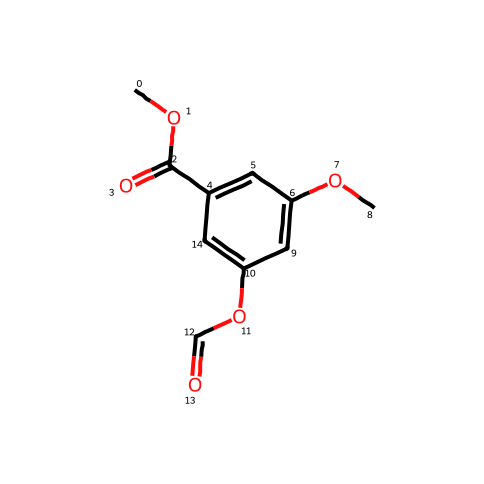 COC(=O)c1cc(OC)cc(OC=O)c1